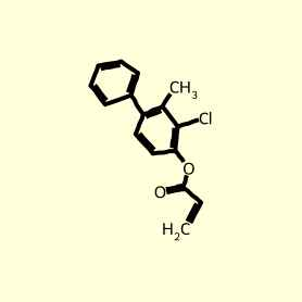 C=CC(=O)Oc1ccc(-c2ccccc2)c(C)c1Cl